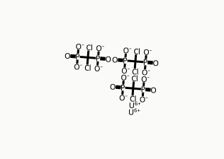 O=P([O-])([O-])C(Cl)(Cl)P(=O)([O-])[O-].O=P([O-])([O-])C(Cl)(Cl)P(=O)([O-])[O-].O=P([O-])([O-])C(Cl)(Cl)P(=O)([O-])[O-].[U+6].[U+6]